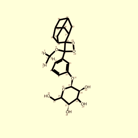 [2H]C([2H])([2H])OC1(c2cccc(O[C@@H]3OC(CO)[C@@H](O)C(O)[C@@H]3O)c2)OOC12C1CC3CC(C1)CC2C3